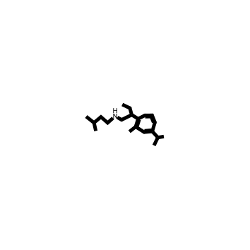 CCC(CNCCC(C)C)C1=C(C)C=C(C(C)C)C=C=C1